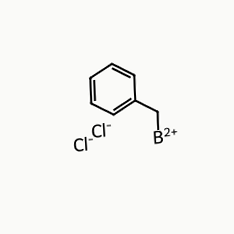 [B+2]Cc1ccccc1.[Cl-].[Cl-]